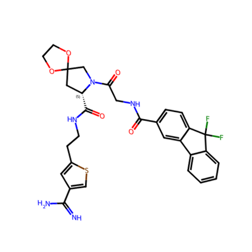 N=C(N)c1csc(CCNC(=O)[C@@H]2CC3(CN2C(=O)CNC(=O)c2ccc4c(c2)-c2ccccc2C4(F)F)OCCO3)c1